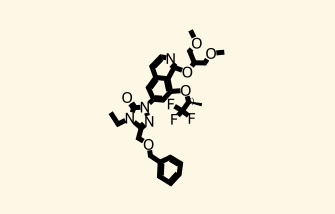 CCn1c(COCc2ccccc2)nn(-c2cc(O[C@@H](C)C(F)(F)F)c3c(OC(COC)COC)nccc3c2)c1=O